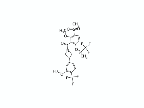 COc1cc(C2CN(C(=O)c3c(O[C@@H](C)C(F)(F)F)ccc(S(C)(=O)=O)c3OC)C2)ccc1C(F)(F)F